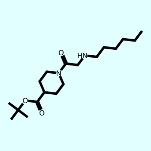 CCCCCCNCC(=O)N1CCC(C(=O)OC(C)(C)C)CC1